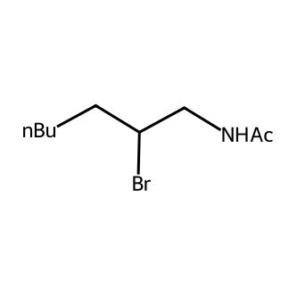 CCCCCC(Br)CNC(C)=O